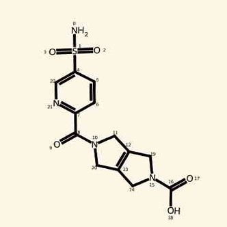 NS(=O)(=O)c1ccc(C(=O)N2CC3=C(CN(C(=O)O)C3)C2)nc1